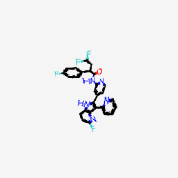 O=C(Nc1cc(-c2[nH]c3ccc(F)nc3c2-c2ccccn2)ccn1)C(CC(F)F)c1ccc(F)cc1